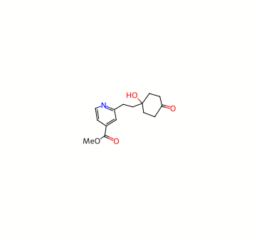 COC(=O)c1ccnc(CCC2(O)CCC(=O)CC2)c1